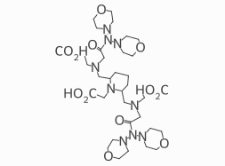 O=C(O)CN(CC(=O)N(N1CCOCC1)N1CCOCC1)CC1CCCC(CN(CC(=O)O)CC(=O)N(N2CCOCC2)N2CCOCC2)N1CC(=O)O